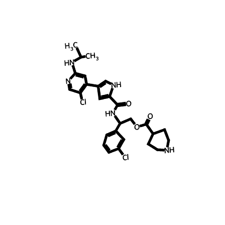 CC(C)Nc1cc(-c2c[nH]c(C(=O)NC(COC(=O)C3CCNCC3)c3cccc(Cl)c3)c2)c(Cl)cn1